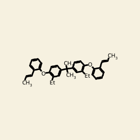 CC=Cc1ccccc1Oc1ccc(C(C)(C)c2ccc(Oc3ccccc3C=CC)c(CC)c2)cc1CC